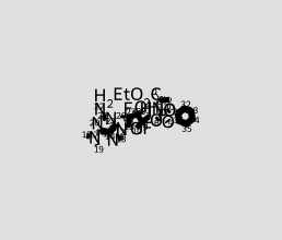 CCOC(=O)[C@H](C)NP(=O)(OC[C@@]1(F)O[C@@H](n2cnc3c(N(C)C)nc(N)nc32)[C@](C)(F)[C@@H]1O)Oc1ccccc1